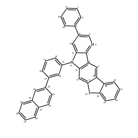 c1ccc(-c2cnc3c4cc5c(cc4n(-c4cccc(-c6ccc7ccccc7c6)c4)c3c2)sc2ccccc25)cc1